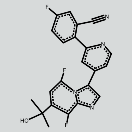 CC(C)(O)c1cc(F)n2c(-c3ccnc(-c4ccc(F)cc4C#N)c3)cnc2c1F